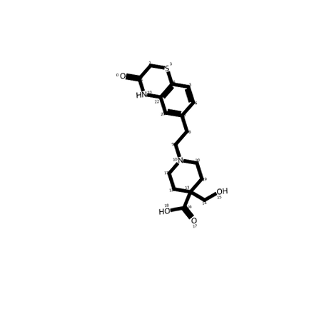 O=C1CSc2ccc(CCN3CCC(CO)(C(=O)O)CC3)cc2N1